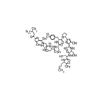 CSCCC(NC(=O)C(CS)NC(=O)C(CO)N/C(S)=C1/N=C(C2CCCN2C(=O)C(Cc2ccc(C)cc2)NC(=O)C(CS)NC(=O)C(CO)NC(=O)CN/C(S)=C2/N=C(C(=O)CC(C)C)C=C2O)C=C1O)C(=O)O